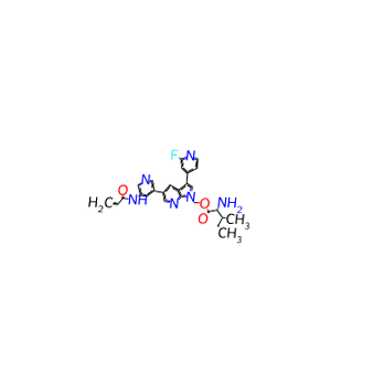 C=CC(=O)Nc1cncc(-c2cnc3c(c2)c(-c2ccnc(F)c2)cn3COC(=O)C(N)C(C)CC)c1